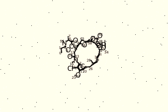 CCC(=O)N(C)C(C)C(=O)OC1CC(=O)N(C)c2cc(cc(OC)c2Cl)C/C(C)=C/C=C/C(OC)C2(O)CC(OC(=O)N2)C2(C)CC1(C)O2